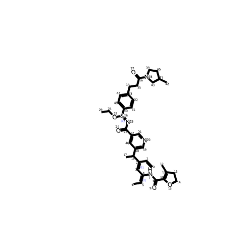 C=C/C(=C\C(=C/C)NC(=O)C1=C(C)CCO1)C(C)c1cncc(C(=O)/N=S(\OCC)c2ccc(CCC(=O)N3CCC(C)C3)cc2)c1